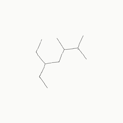 CCC(CC)CC(C)[C](C)C